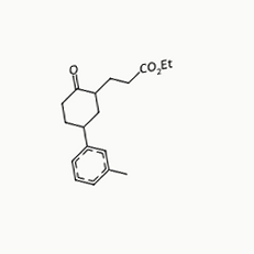 CCOC(=O)CCC1CC(c2cccc(C)c2)CCC1=O